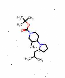 CC(C)C[C@@H]1CCCN1C1CCN(C(=O)OC(C)(C)C)CC1C